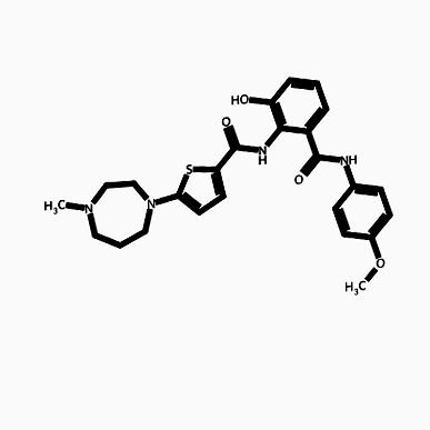 COc1ccc(NC(=O)c2cccc(O)c2NC(=O)c2ccc(N3CCCN(C)CC3)s2)cc1